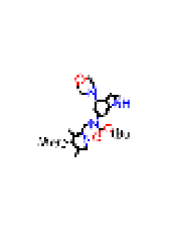 COc1c(C)cnc(CN(C(=O)OC(C)(C)C)c2cc(N3CCOCC3)c3cc[nH]c3c2)c1C